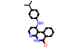 CC(C)c1ccc(Nc2ccnc3[nH]c(=O)c4ccccc4c23)cc1